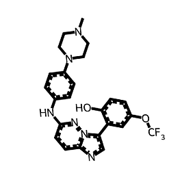 CN1CCN(c2ccc(Nc3ccc4ncc(-c5cc(OC(F)(F)F)ccc5O)n4n3)cc2)CC1